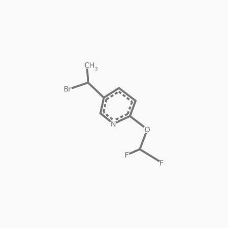 CC(Br)c1ccc(OC(F)F)nc1